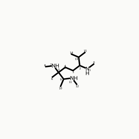 CNC(C[CH]C(C)(NC)C(C)NC)C(C)C